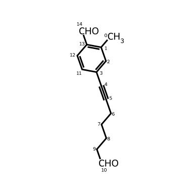 Cc1cc(C#CCCCCC=O)ccc1C=O